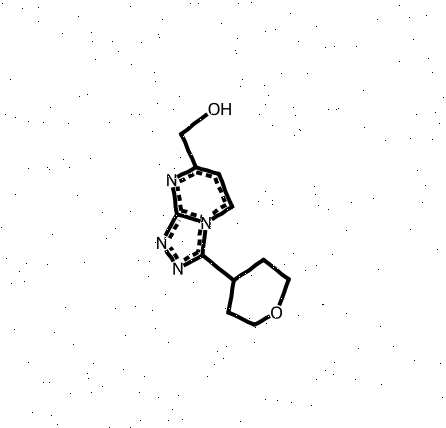 OCc1ccn2c(C3CCOCC3)nnc2n1